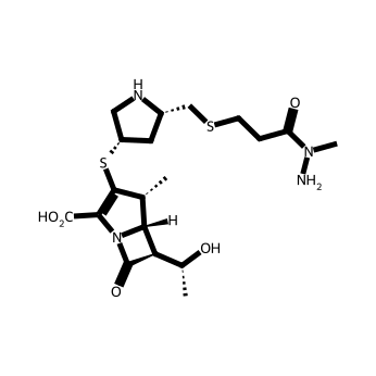 C[C@@H](O)[C@H]1C(=O)N2C(C(=O)O)=C(S[C@@H]3CN[C@H](CSCCC(=O)N(C)N)C3)[C@H](C)[C@H]12